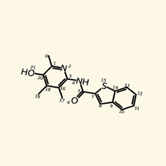 Cc1nc(NC(=O)c2cc3ccccc3s2)c(C)c(C)c1O